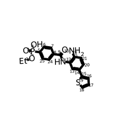 CCOP(=O)(O)c1ccc(C(=O)Nc2cc(-c3cccs3)ccc2N)cc1